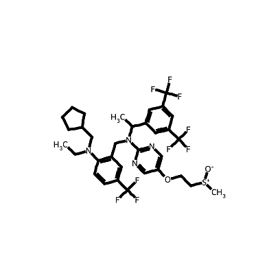 CCN(CC1CCCC1)c1ccc(C(F)(F)F)cc1CN(c1ncc(OCC[S+](C)[O-])cn1)C(C)c1cc(C(F)(F)F)cc(C(F)(F)F)c1